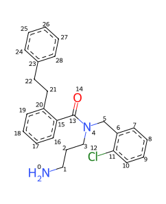 NCCCN(Cc1ccccc1Cl)C(=O)c1ccccc1CCc1ccccc1